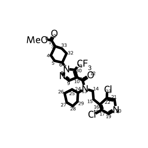 COC(=O)C1CCC(n2ncc(C(=O)N(CCc3c(Cl)cncc3Cl)C3CCCCC3)c2C(F)(F)F)CC1